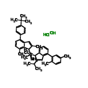 CC1=Cc2c(-c3ccc(C(C)(C)C)cc3)ccc(C)c2[CH]1[Zr]([CH3])([CH3])(=[SiH2])[CH]1C(C(C)C)=Cc2c(-c3cc(C)ccc3C)cccc21.Cl.Cl